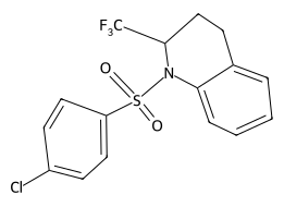 O=S(=O)(c1ccc(Cl)cc1)N1c2ccccc2CCC1C(F)(F)F